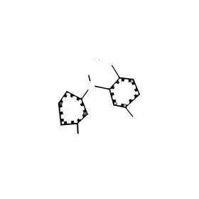 COc1ccc(Cl)cc1B(O)c1cccc(Cl)c1